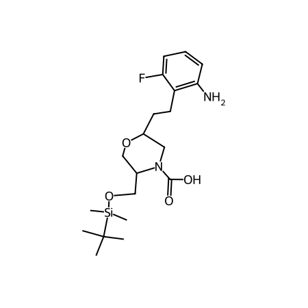 CC(C)(C)[Si](C)(C)OCC1COC(CCc2c(N)cccc2F)CN1C(=O)O